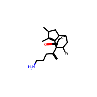 C=C(CCCN)C12C(=O)CCC(CC1CC)C1CC(C)C(C)=C12